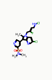 Cc1c(-c2cncc(S(=O)(=O)N(C)C)c2)c2ncc(Cl)cc2n1C/C(F)=C/CNCl